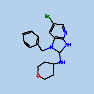 Brc1cnc2c(c1)N(Cc1ccccc1)C(NC1CCOCC1)N2